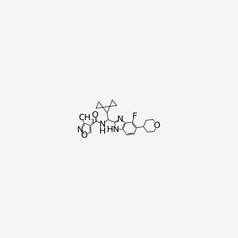 Cc1nocc1C(=O)NC(c1nc2c(F)c(C3CCOCC3)ccc2[nH]1)C1C2(CC2)C12CC2